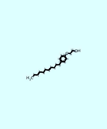 CCCCCCCCCCCc1ccc(OCCO)cc1